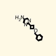 Nc1cnc(C2CC(OCc3ccccc3)C2)nc1